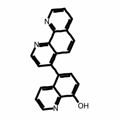 Oc1ccc(-c2ccnc3c2ccc2cccnc23)c2cccnc12